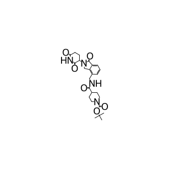 CC(C)(C)OC(=O)N1CCC(C(=O)NCc2cccc3c2CN(C2CCC(=O)NC2=O)C3=O)CC1